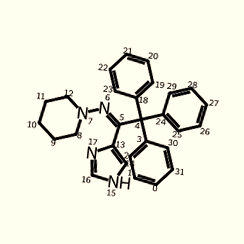 c1ccc(C(C(=NN2CCCCC2)c2c[nH]cn2)(c2ccccc2)c2ccccc2)cc1